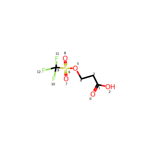 O=C(O)CCOS(=O)(=O)C(F)(F)F